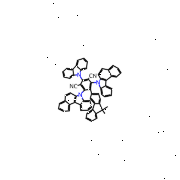 CC1(C)c2ccccc2-c2cc(-c3c(-n4c5ccccc5c5c6ccccc6ccc54)c(C#N)c(-n4c5ccccc5c5ccccc54)c(C#N)c3-n3c4ccccc4c4c5ccccc5ccc43)ccc21